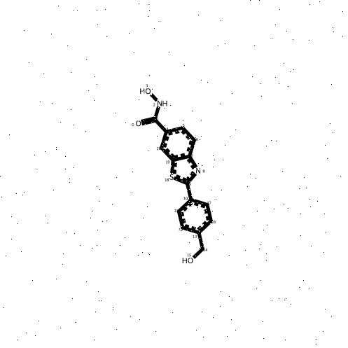 O=C(NO)c1ccc2nc(-c3ccc(CO)cc3)sc2c1